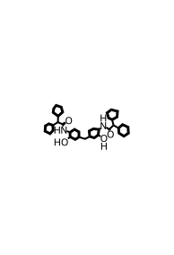 O=C(Nc1ccc(Cc2ccc(NC(=O)C(c3ccccc3)c3ccccc3)c(O)c2)cc1O)C(c1ccccc1)c1ccccc1